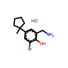 CC1(c2cc(Br)c(O)c(CN)c2)CCCC1.Cl